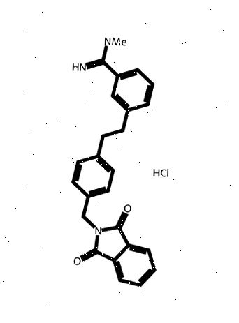 CNC(=N)c1cccc(CCc2ccc(CN3C(=O)c4ccccc4C3=O)cc2)c1.Cl